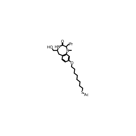 CC(=O)SCCCCCCCCOc1ccc2c(c1)N(C)C(C(C)C)C(=O)NC(CO)C2